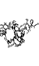 C=CC(=O)N1C[C@H](C)N(c2nc(=O)n3c4nc(c(F)cc24)-c2c(F)cccc2NC(=O)CN(C)c2ccnc(C(C)C)c2-3)C[C@H]1C